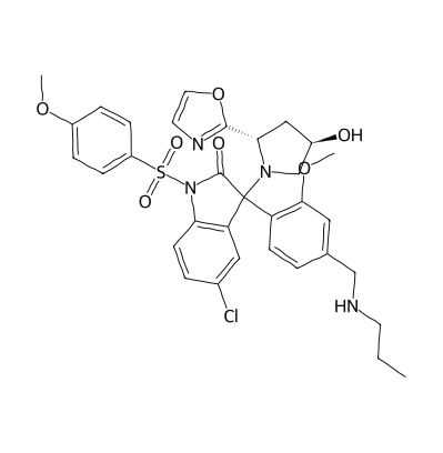 CCCNCc1ccc(C2(N3C[C@H](O)C[C@H]3c3ncco3)C(=O)N(S(=O)(=O)c3ccc(OC)cc3)c3ccc(Cl)cc32)c(OC)c1